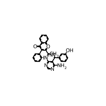 CC(Nc1ncnc(N)c1C(=N)c1cccc(O)c1)c1oc2ccccc2c(=O)c1-c1ccccc1